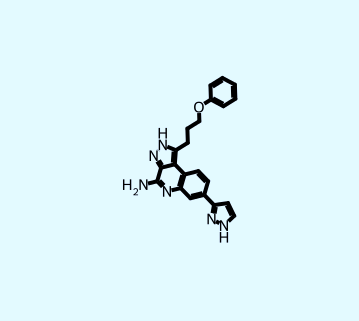 Nc1nc2cc(-c3cc[nH]n3)ccc2c2c(CCCOc3ccccc3)[nH]nc12